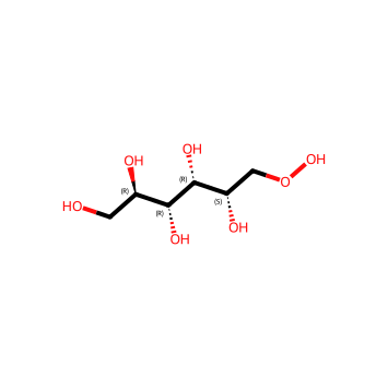 OC[C@@H](O)[C@@H](O)[C@H](O)[C@@H](O)COO